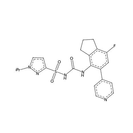 CC(C)n1ccc(S(=O)(=O)NC(=O)Nc2c(-c3ccncc3)cc(F)c3c2CCC3)n1